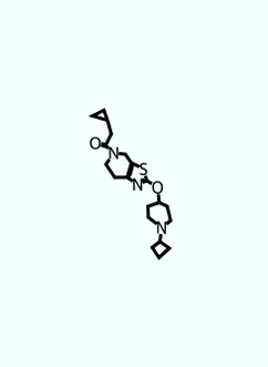 O=C(CC1CC1)N1CCc2nc(OC3CCN(C4CCC4)CC3)sc2C1